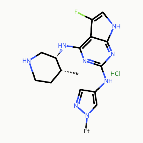 CCn1cc(Nc2nc(N[C@H]3CNCC[C@H]3C)c3c(F)c[nH]c3n2)cn1.Cl